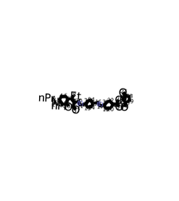 CCCN(CCC)c1ccc2c(CC)c(/C=C/c3ccc(/C=C/c4ccc(C(=O)ON5C(=O)CCC5=O)cc4)cc3)c(=O)oc2c1